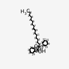 CCCCCCCCC=CCCCCCCC(Oc1ccccc1)(Oc1ccccc1)C(=O)O